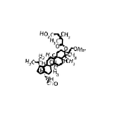 C=C(C)[C@@H]1CC[C@]2(CNC=O)CC[C@]3(C)[C@H](CCC4[C@@]5(C)CC[C@](CCOC)(OC(=O)CC(C)(C)CC(=O)O)C(C)(C)[C@@H]5CC[C@]43C)[C@@H]12